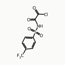 O=C(Cl)C(=O)NS(=O)(=O)c1ccc(C(F)(F)F)cc1